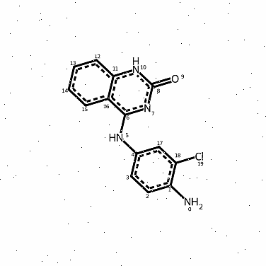 Nc1ccc(Nc2nc(=O)[nH]c3ccccc23)cc1Cl